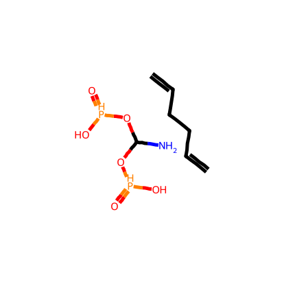 C=CCCC=C.NC(O[PH](=O)O)O[PH](=O)O